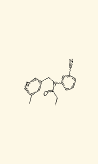 CCC(=O)N(Cc1cccc(C)c1)c1cccc(C#N)c1